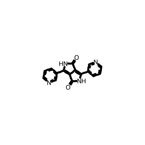 O=C1NC(c2cccnc2)=C2C(=O)NC(c3cccnc3)=C12